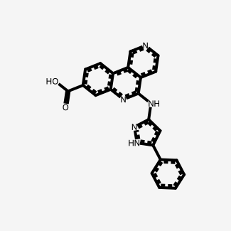 O=C(O)c1ccc2c(c1)nc(Nc1cc(-c3ccccc3)[nH]n1)c1ccncc12